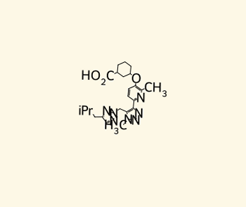 Cc1nc(-c2nnn(C)c2Cn2ncc(CC(C)C)n2)ccc1OC1CCCC(C(=O)O)C1